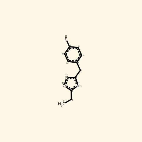 CCc1nc(Cc2ccc(F)cc2)no1